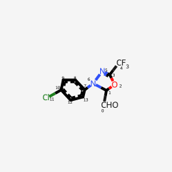 O=CC1OC(C(F)(F)F)=NN1c1ccc(Cl)cc1